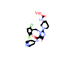 O=C(O)N[C@@H]1CCCN(c2nc(I)c(C(=O)Nc3ccncc3)n2Cc2cc(F)ccc2Cl)C1